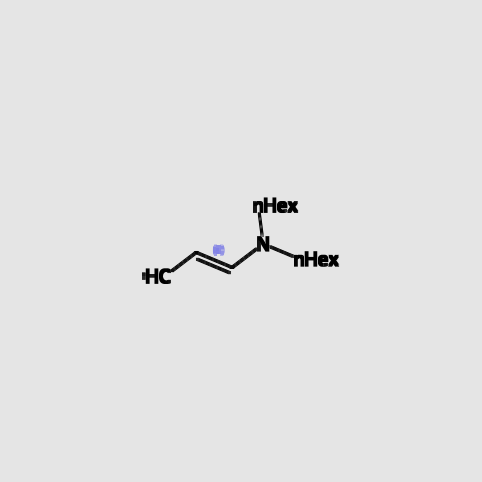 [CH]/C=C/N(CCCCCC)CCCCCC